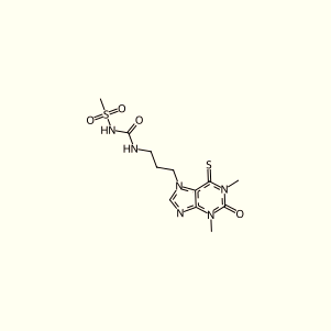 Cn1c(=S)c2c(ncn2CCCNC(=O)NS(C)(=O)=O)n(C)c1=O